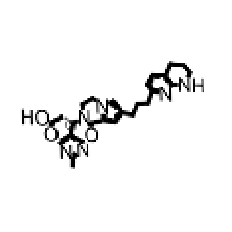 Cc1ncc([C@H](CC(=O)O)N2CCn3cc(CCCc4ccc5c(n4)NCCC5)cc3C2=O)cn1